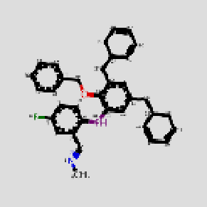 C/N=C/c1cc(F)ccc1Pc1cc(CC2C=CC=CC2)cc(CC2C=CC=CC2)c1OCc1ccccc1